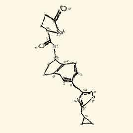 O=C1CC[C@H](C(=O)N[C@@H]2CCc3cc(-c4noc(C5CC5)n4)ccc32)N1